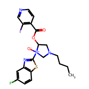 CCCCN1CC(OC(=O)c2ccncc2I)[N+]([O-])(c2nc3cc(F)ccc3s2)C1